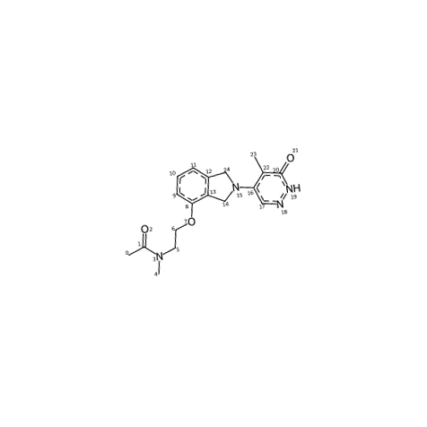 CC(=O)N(C)CCOc1cccc2c1CN(c1cn[nH]c(=O)c1C)C2